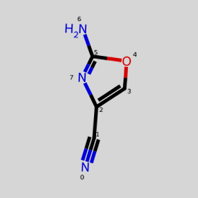 N#Cc1coc(N)n1